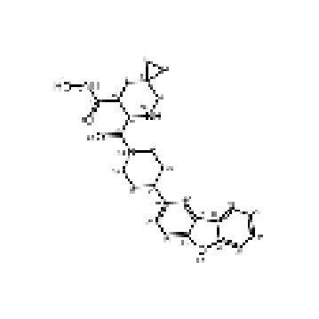 O=C(NO)C1CC2(CC2)CNC1C(=O)N1CCC(c2ccc3oc4ccccc4c3c2)CC1